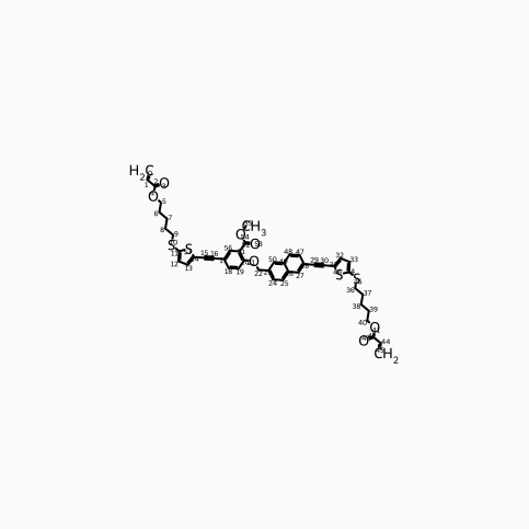 C=CC(=O)OCCCCCSc1ccc(C#Cc2ccc(OCc3ccc4cc(C#Cc5ccc(SCCCCCOC(=O)C=C)s5)ccc4c3)c(C(=O)OC)c2)s1